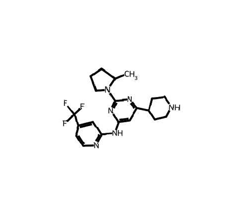 CC1CCCN1c1nc(Nc2cc(C(F)(F)F)ccn2)cc(C2CCNCC2)n1